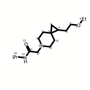 CCOCCC1CC12CCN(CC(=O)NC(C)C)CC2